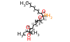 CCCCCCCC(=O)C(P)(CC)OCCCCCC(=O)C(C)(O)CC